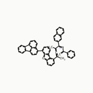 C=C(/N=C(\C(C)=C=C(C)c1cccc2oc3c(-c4ccc5c6c(cccc46)-c4ccccc4-5)cccc3c12)c1ccc2ccccc2c1)c1ccccc1